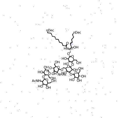 CCCCCCCCCCCCC/C=C/[C@@H](O)[C@H](CO[C@@H]1OC(CO)[C@@H](O[C@@H]2OC(CO[C@@H]3OC(CO)[C@@H](O[C@@H]4OC(CO)[C@H](O[C@@H]5OC(CO)[C@H](O)[C@H](O)C5NC(C)=O)[C@H](O)C4O)[C@H](O)C3NC(C)=O)[C@H](O)[C@H](O[C@H]3OC(CO)[C@H](O)[C@H](O)C3O)C2O)[C@H](O)C1O)NC(=O)CCCCCCCCCCCCCCCCCCC